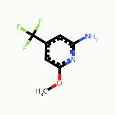 COc1cc(C(F)(F)F)cc(N)n1